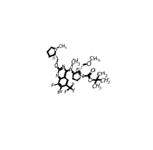 COC[C@H]1C(N(C)c2nc(OC[C@@H]3CCCN3C)nc3c(F)c(Br)c(C(F)(F)F)cc23)CCN1C(=O)OC(C)(C)C